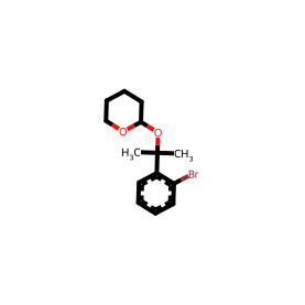 CC(C)(OC1CCCCO1)c1ccccc1Br